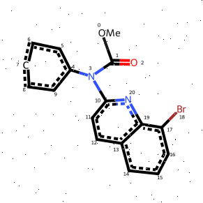 COC(=O)N(c1ccccc1)c1ccc2cccc(Br)c2n1